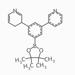 CC1(C)OB(c2cc(-c3cccnc3)cc(C3C=NC=CC3)c2)OC1(C)C